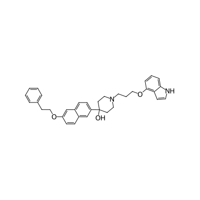 OC1(c2ccc3cc(OCCc4ccccc4)ccc3c2)CCN(CCCOc2cccc3[nH]ccc23)CC1